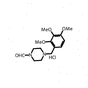 COc1ccc(CN2CCN(C=O)CC2)c(OC)c1OC.Cl